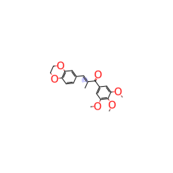 COc1cc(C(=O)/C(C)=C/c2ccc3c(c2)OCCO3)cc(OC)c1OC